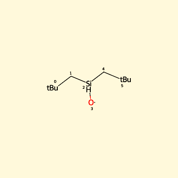 CC(C)(C)C[SiH]([O])CC(C)(C)C